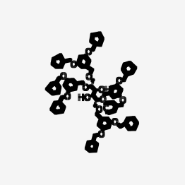 O[C@@H]([C@H](O)[C@@H](COCc1cc(OCc2ccccc2)cc(OCc2ccccc2)c1)OCc1cc(OCc2ccccc2)cc(OCc2ccccc2)c1)[C@@H](COCc1cc(OCc2ccccc2)cc(OCc2ccccc2)c1)OCc1cc(OCc2ccccc2)cc(OCc2ccccc2)c1